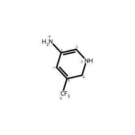 NC1=CNCC(C(F)(F)F)=C1